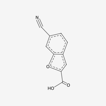 N#Cc1ccc2cc(C(=O)O)oc2c1